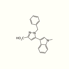 Cn1cc(-c2cc(C(=O)O)nn2Cc2ccccc2)c2ccccc21